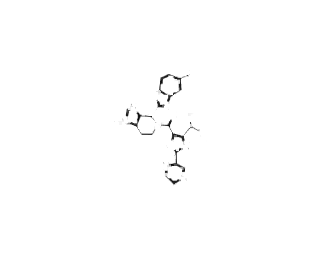 O=C(c1oc(-c2cnccn2)nc1C(F)F)N1CCc2[nH]cnc2[C@H]1c1nc2cc(F)ccc2o1